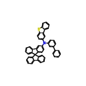 c1ccc(-c2cccc(N(c3ccc4c(c3)-c3ccccc3C43c4ccccc4-c4ccccc43)c3ccc4sc5ccccc5c4c3)c2)cc1